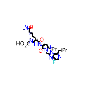 CC(C)Cc1ncc(F)c2nc(Cn3c(C(C)C)ccc(NC(=O)[C@@H](CC/C=C/C(=O)N(C)C)CN(C)C(=O)O)c3=O)[nH]c12